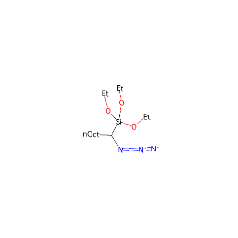 CCCCCCCCC(N=[N+]=[N-])[Si](OCC)(OCC)OCC